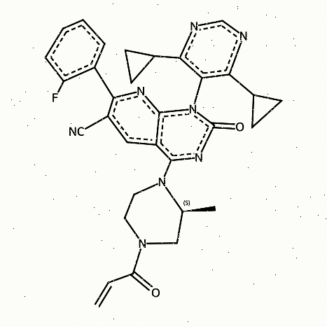 C=CC(=O)N1CCN(c2nc(=O)n(-c3c(C4CC4)ncnc3C3CC3)c3nc(-c4ccccc4F)c(C#N)cc23)[C@@H](C)C1